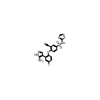 N#Cc1cc(S(=O)(=O)Nc2ncns2)ccc1Oc1ccc(I)cc1-c1cn[nH]c1N